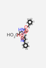 O=C(O)CCC(NC(=O)OCc1ccccc1)P(=O)(O)Cc1cc(-c2ccccc2)no1